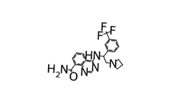 NC(=O)c1cccc2c(NC(CN3CCC3)c3cccc(C(F)(F)F)c3)ncnc12